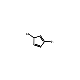 CC[C]1C=CC(CC)=C1